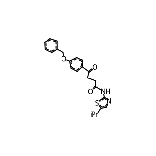 CC(C)c1cnc(NC(=O)CCC(=O)c2ccc(OCc3ccccc3)cc2)s1